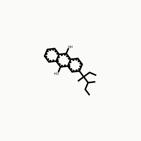 CCC(C)C(C)(CC)c1ccc2c(O)c3ccccc3c(O)c2c1